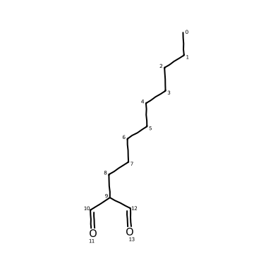 CCCCCCCCCC(C=O)C=O